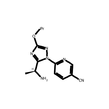 CC(C)Oc1nc([C@H](C)N)n(-c2ccc(C#N)cn2)n1